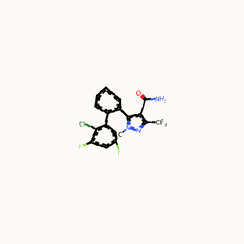 Cn1nc(C(F)(F)F)c(C(N)=O)c1-c1ccccc1-c1cc(F)cc(F)c1Cl